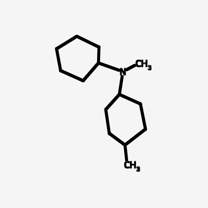 CC1CCC(N(C)C2CCCCC2)CC1